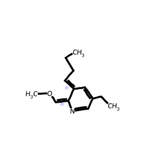 CCC/C=c1\cc(CC)cn\c1=C\OC